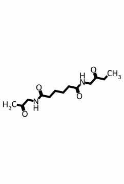 CCC(=O)CNC(=O)CCCCC(=O)NCC(C)=O